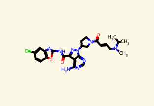 CC(C)N(C)CC=CC(=O)N1CCC(n2nc(C(=O)Nc3nc4cc(Cl)ccc4o3)c3c(N)ncnc32)C1